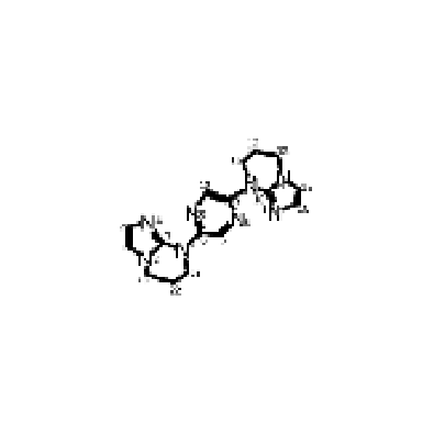 c1cn2c(n1)N(c1cnc(N3CCCn4ccnc43)cn1)CCC2